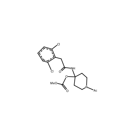 COC(=O)OC1(NC(=O)Cc2c(Cl)cccc2Cl)CCN(C(C)=O)CC1